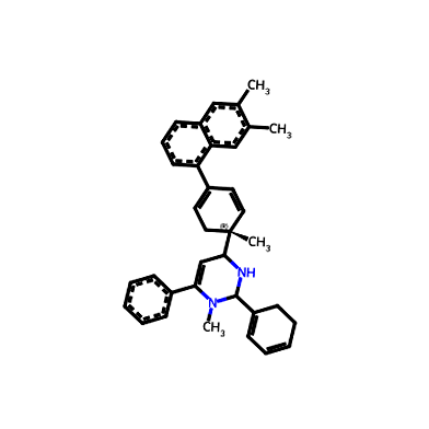 Cc1cc2cccc(C3=CC[C@@](C)(C4C=C(c5ccccc5)N(C)C(C5=CC=CCC5)N4)C=C3)c2cc1C